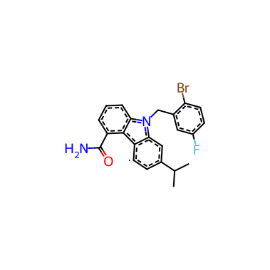 CC(C)c1c[c]c2c3c(C(N)=O)cccc3n(Cc3cc(F)ccc3Br)c2c1